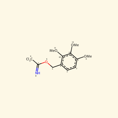 COc1ccc(COC(=N)C(Cl)(Cl)Cl)c(OC)c1OC